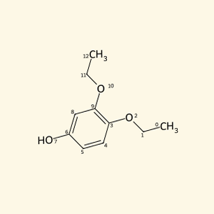 CCOc1ccc(O)cc1OCC